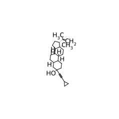 C=C(C)[C@H]1CC[C@H]2[C@@H]3CC[C@@H]4C[C@@](O)(C#CC5CC5)CC[C@@H]4[C@H]3CC[C@]12C